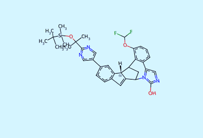 CC(C)(O[Si](C)(C)C(C)(C)C)c1ncc(-c2ccc3c(c2)[C@H]2C(=C3)C3CC2c2c(OC(F)F)cccc2-c2cnc(O)n23)cn1